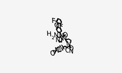 CC(C)(C=C(C#N)C(=O)N1CCCC(n2c(=O)n(-c3ccc(Oc4c(F)cccc4F)cc3)c3c(N)nccc32)C1)N1CCN(C2COC2)CC1